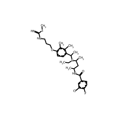 CCN(C(C)CC(C)NC(=O)c1ccc(F)c(Cl)c1)C(C)c1ccc(OCCCNC(=N)SC)c(C)c1C